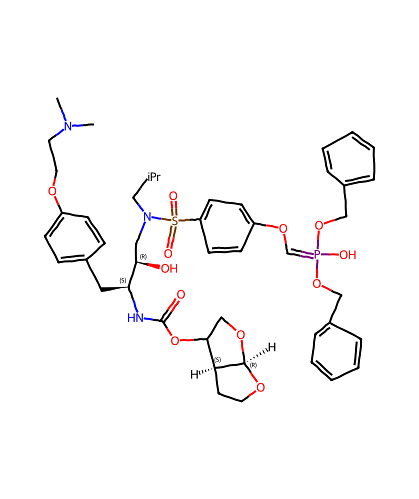 CC(C)CN(C[C@@H](O)[C@H](Cc1ccc(OCCN(C)C)cc1)NC(=O)OC1CO[C@H]2OCC[C@@H]12)S(=O)(=O)c1ccc(OC=P(O)(OCc2ccccc2)OCc2ccccc2)cc1